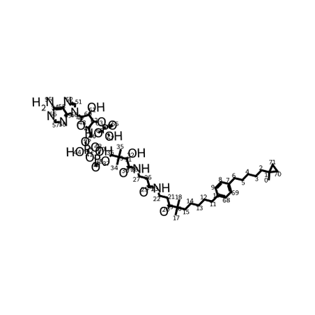 CC1(CCCCCc2ccc(CCCCCC(C)(C)C(=O)CCNC(=O)CCNC(=O)C(O)C(C)(C)COP(=O)(O)OP(=O)(O)OCC3OC(n4cnc5c(N)ncnc54)C(O)C3OP(=O)(O)O)cc2)CC1